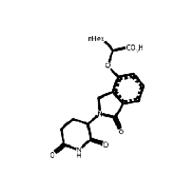 CCCCCCC(Oc1cccc2c1CN(C1CCC(=O)NC1=O)C2=O)C(=O)O